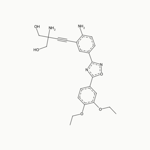 CCOc1ccc(-c2nc(-c3ccc(N)c(C#CC(N)(CO)CO)c3)no2)cc1OCC